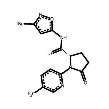 CC(C)(C)c1cc(NC(=O)[C@@H]2CCC(=O)N2c2ccc(C(F)(F)F)cn2)on1